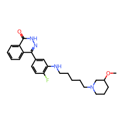 COC1CCCN(CCCCCNc2cc(-c3n[nH]c(=O)c4ccccc34)ccc2F)C1